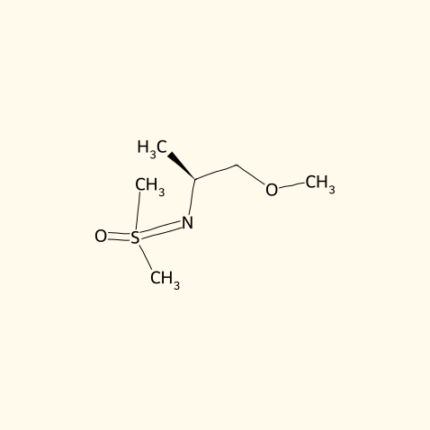 COC[C@H](C)N=S(C)(C)=O